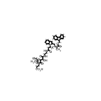 CN(Cc1cc2ccccc2n1CCC(=O)NCCNC(=O)[C@H](O)[C@H](O[Si](C)(C)C(C)(C)C)C(=O)NCCC(=O)O)N(C)C(=O)OCC1c2ccccc2-c2ccccc21